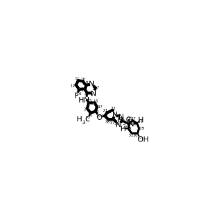 Cc1cc(Nc2ncnc3cccc(F)c23)ccc1Oc1ccn2nc(C3C[C@@H]4C[C@@H](O)C[C@H]3N4C)nc2c1